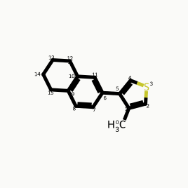 Cc1cscc1-c1ccc2c(c1)[C]CCC2